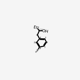 CCC(O)Cc1cccc(F)c1